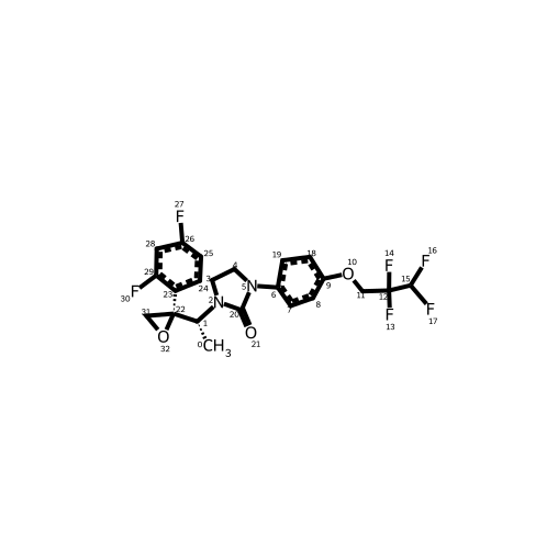 C[C@@H](N1CCN(c2ccc(OCC(F)(F)C(F)F)cc2)C1=O)[C@]1(c2ccc(F)cc2F)CO1